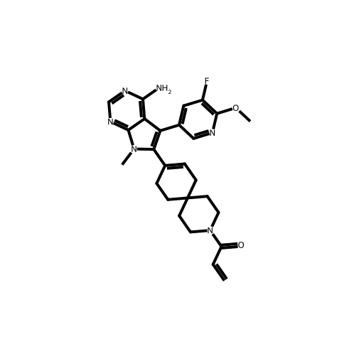 C=CC(=O)N1CCC2(CC=C(c3c(-c4cnc(OC)c(F)c4)c4c(N)ncnc4n3C)CC2)CC1